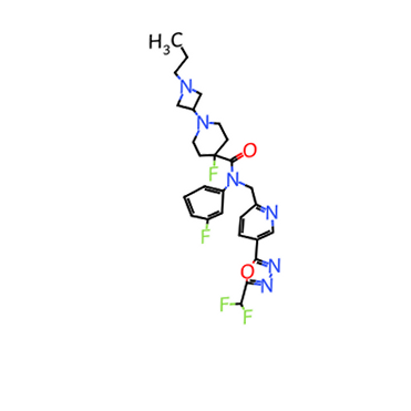 CCCN1CC(N2CCC(F)(C(=O)N(Cc3ccc(-c4nnc(C(F)F)o4)cn3)c3cccc(F)c3)CC2)C1